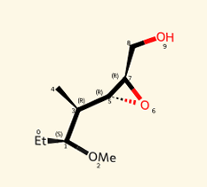 CC[C@H](OC)[C@@H](C)[C@H]1O[C@@H]1CO